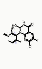 C=N/C(=C(\C(C)=C/C)N1c2nc(Cl)c(F)cc2C(=O)NC1O)C(C)C